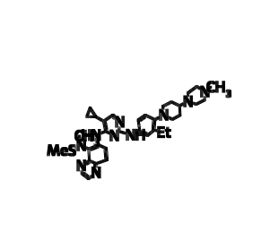 CCc1cc(Nc2ncc(C3CC3)c(Nc3ccc4nccnc4c3N(C)SC)n2)ccc1N1CCC(N2CCN(C)CC2)CC1